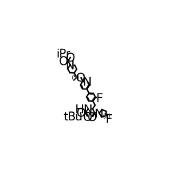 CC(C)OC(=O)N1CCC([C@H](C)Oc2ccc(-c3ccc(CC(NC(=O)OC(C)(C)C)C(=O)N4CC[C@H](F)C4)c(F)c3)cn2)CC1